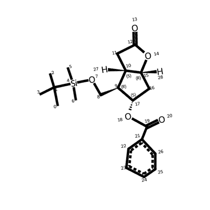 CC(C)(C)[Si](C)(C)OC[C@H]1[C@@H]2CC(=O)O[C@@H]2C[C@@H]1OC(=O)c1ccccc1